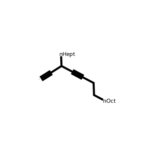 [C]#CC(C#CCCCCCCCCCC)CCCCCCC